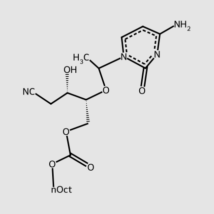 CCCCCCCCOC(=O)OC[C@@H](OC(C)n1ccc(N)nc1=O)[C@@H](O)CC#N